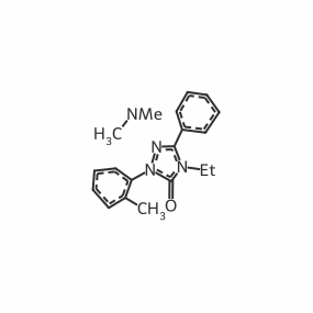 CCn1c(-c2ccccc2)nn(-c2ccccc2C)c1=O.CNC